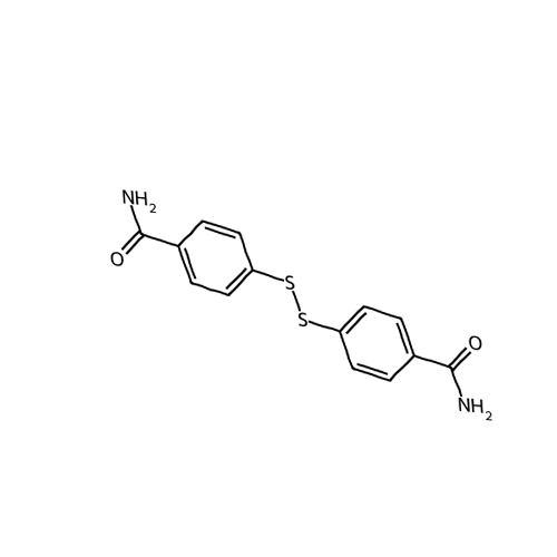 NC(=O)c1ccc(SSc2ccc(C(N)=O)cc2)cc1